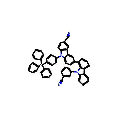 N#Cc1cccc(-n2c3ccccc3c3cccc(-c4ccc5c(c4)c4cc(C#N)ccc4n5-c4ccc([Si](c5ccccc5)(c5ccccc5)c5ccccc5)cc4)c32)c1